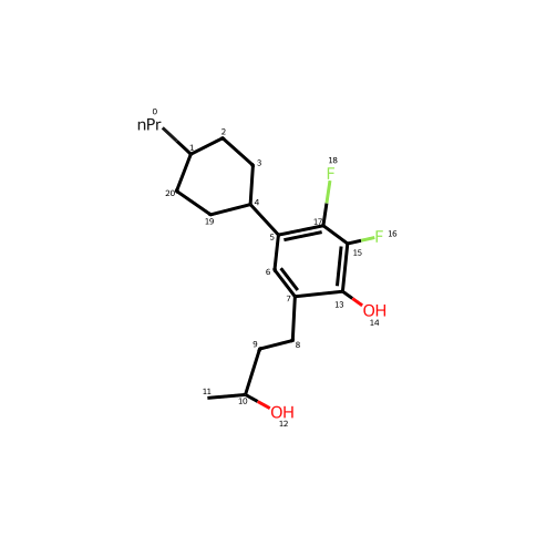 CCCC1CCC(c2cc(CCC(C)O)c(O)c(F)c2F)CC1